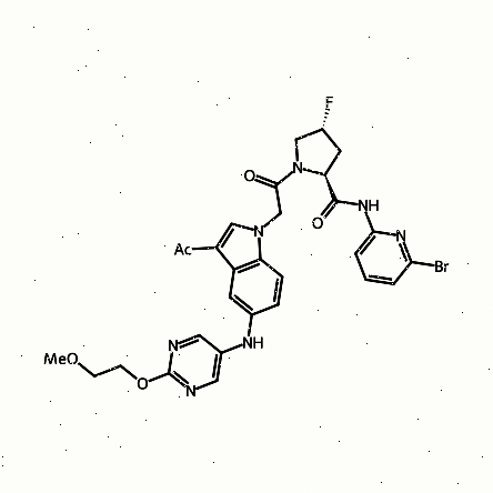 COCCOc1ncc(Nc2ccc3c(c2)c(C(C)=O)cn3CC(=O)N2C[C@H](F)C[C@H]2C(=O)Nc2cccc(Br)n2)cn1